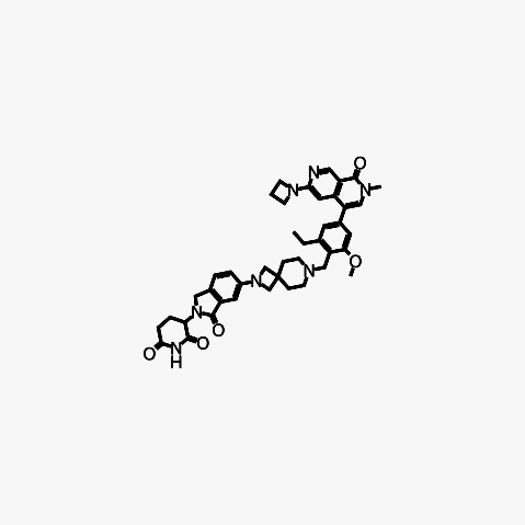 CCc1cc(-c2cn(C)c(=O)c3cnc(N4CCC4)cc23)cc(OC)c1CN1CCC2(CC1)CN(c1ccc3c(c1)C(=O)N(C1CCC(=O)NC1=O)C3)C2